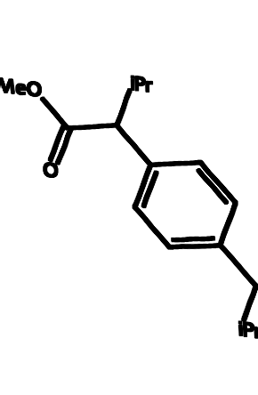 COC(=O)C(c1ccc(CC(C)C)cc1)C(C)C